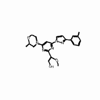 COC(CO)c1nc(N2CCOC(C)C2)cc(-n2ccc(-c3cccc(C)c3)n2)n1